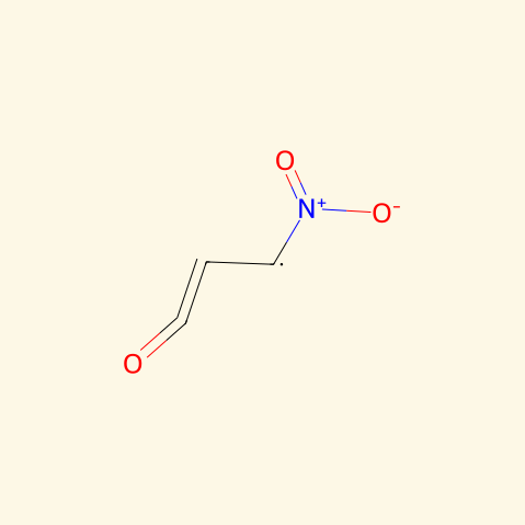 O=C=C[CH][N+](=O)[O-]